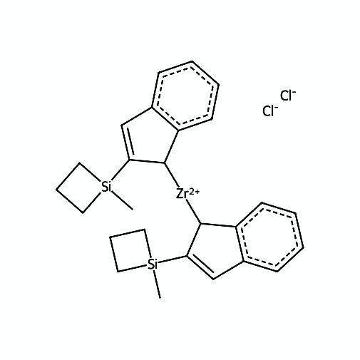 C[Si]1(C2=Cc3ccccc3[CH]2[Zr+2][CH]2C([Si]3(C)CCC3)=Cc3ccccc32)CCC1.[Cl-].[Cl-]